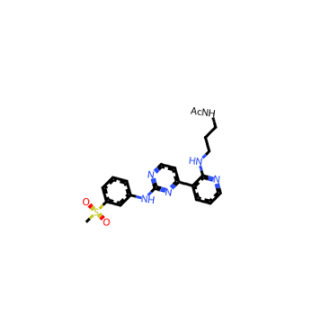 CC(=O)NCCCNc1ncccc1-c1ccnc(Nc2cccc(S(C)(=O)=O)c2)n1